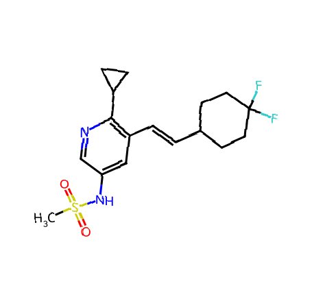 CS(=O)(=O)Nc1cnc(C2CC2)c(/C=C/C2CCC(F)(F)CC2)c1